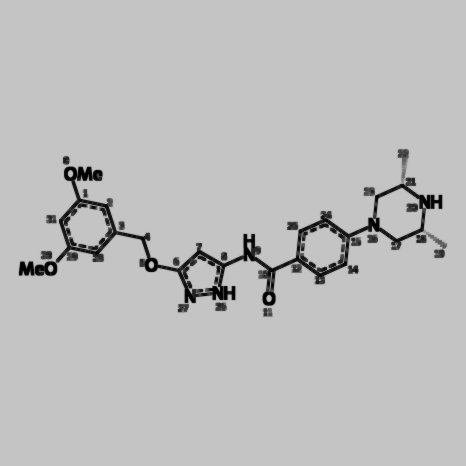 COc1cc(COc2cc(NC(=O)c3ccc(N4C[C@@H](C)N[C@@H](C)C4)cc3)[nH]n2)cc(OC)c1